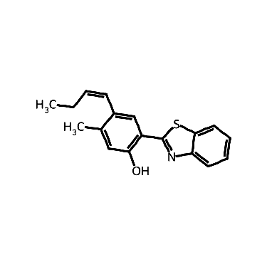 CC/C=C\c1cc(-c2nc3ccccc3s2)c(O)cc1C